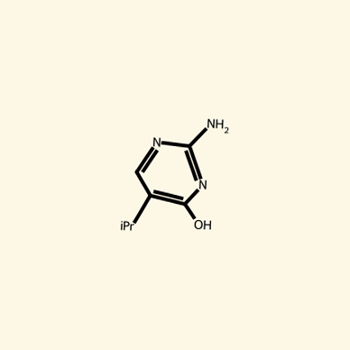 CC(C)c1cnc(N)nc1O